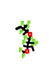 C=CC(F)(C(F)(F)F)C(C)(C)OC(F)(F)C(F)(C(F)(F)F)C(C)(CC)OC(F)F